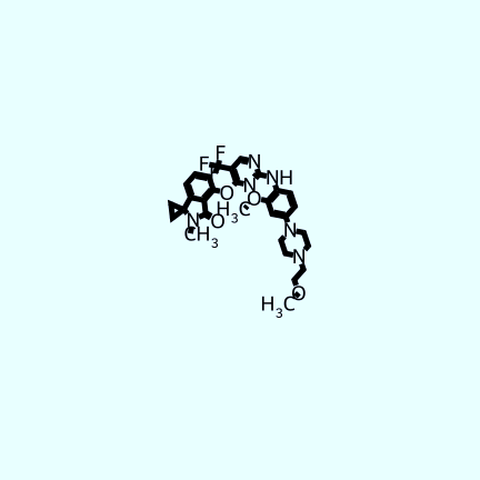 COCCN1CCN(c2ccc(Nc3ncc(C(F)(F)F)c(Oc4cccc5c4C(=O)N(C)C54CC4)n3)c(OC)c2)CC1